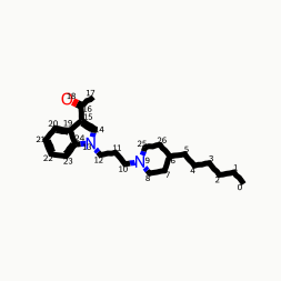 CCCCCCC1CCN(CCCn2cc(C(C)=O)c3ccccc32)CC1